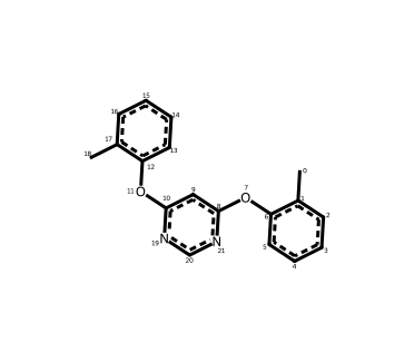 Cc1ccccc1Oc1cc(Oc2ccccc2C)ncn1